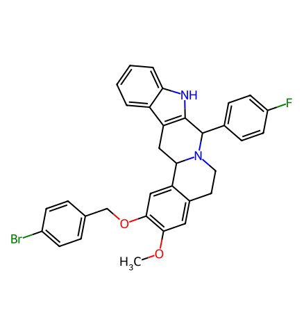 COc1cc2c(cc1OCc1ccc(Br)cc1)C1Cc3c([nH]c4ccccc34)C(c3ccc(F)cc3)N1CC2